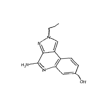 CCn1cc2c(n1)c(N)nc1cc(O)ccc12